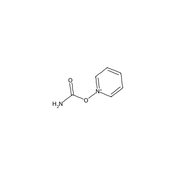 NC(=O)O[n+]1ccccc1